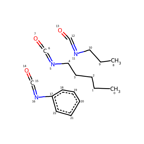 CCCCCN=C=O.CCCN=C=O.O=C=Nc1ccccc1